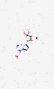 CC(C)(C)OC(=O)Nc1ncnn2c([C@@H]3OC(CO)(CO)[C@H]4OC(C)(C)O[C@@H]34)ccc12